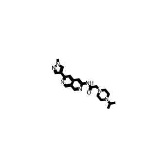 CC(C)N1CCN(CC(=O)Nc2cc3cc(-c4cnn(C)c4)ncc3cn2)CC1